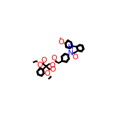 CCOC(=O)C(COC(=O)Cc1ccc(NC(=O)c2ccccc2-c2ccc(OC)cc2)cc1)(C(=O)OCC)c1ccccc1